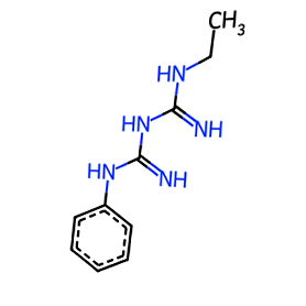 CCNC(=N)NC(=N)Nc1ccccc1